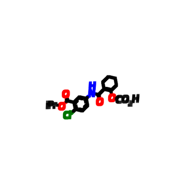 CC(C)OC(=O)c1cc(NC(=O)C2=C(OC(=O)O)CCCC2)ccc1Cl